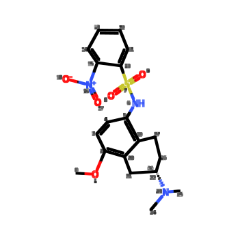 COc1ccc(NS(=O)(=O)c2ccccc2[N+](=O)[O-])c2c1C[C@@H](N(C)C)CC2